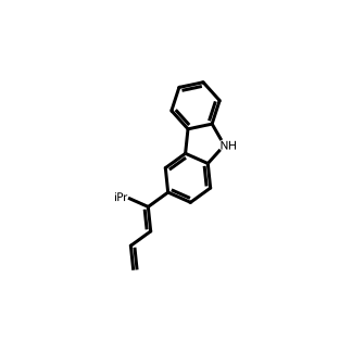 C=C/C=C(/c1ccc2[nH]c3ccccc3c2c1)C(C)C